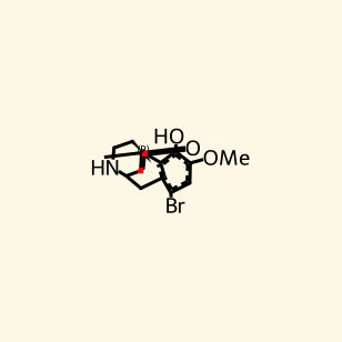 COc1cc(Br)c2c(c1O)[C@@]13CCNC(C2)C1CCC(=O)C3